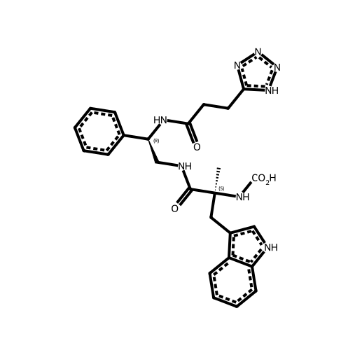 C[C@@](Cc1c[nH]c2ccccc12)(NC(=O)O)C(=O)NC[C@H](NC(=O)CCc1nnn[nH]1)c1ccccc1